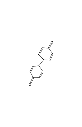 O=C1C=CC(C2C=CC(=O)C=C2)C=C1